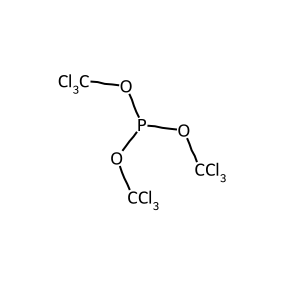 ClC(Cl)(Cl)OP(OC(Cl)(Cl)Cl)OC(Cl)(Cl)Cl